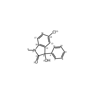 CN1C(=O)C(O)(c2ccccc2)c2cc(Cl)ccc21